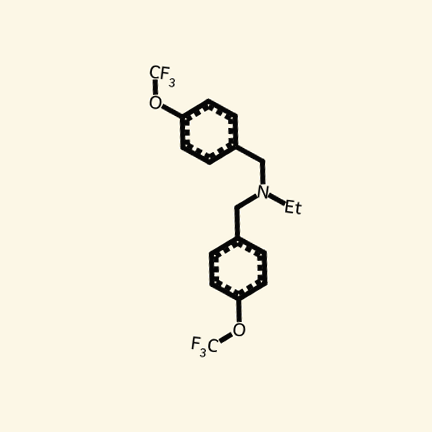 CCN(Cc1ccc(OC(F)(F)F)cc1)Cc1ccc(OC(F)(F)F)cc1